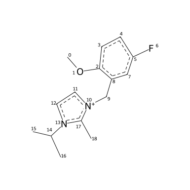 COc1ccc(F)cc1C[n+]1ccn(C(C)C)c1C